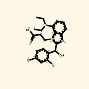 CCN(CC)c1cccc2nc(C(O)c3ccc(Cl)cc3Cl)n(CCC(=O)O)c12